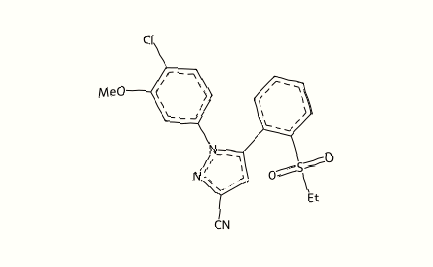 CCS(=O)(=O)c1ccccc1-c1cc(C#N)nn1-c1ccc(Cl)c(OC)c1